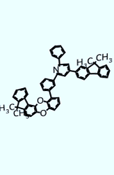 CC1(C)c2ccccc2-c2ccc(-c3cc(-c4ccccc4)nc(-c4cccc(-c5cccc6c5Oc5c(ccc7c5-c5ccccc5C7(C)C)O6)c4)c3)cc21